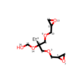 CCC(COCC1CO1)(COCC1CO1)OCO